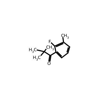 Cc1cccc(C(=O)C(C)(C)C)c1F